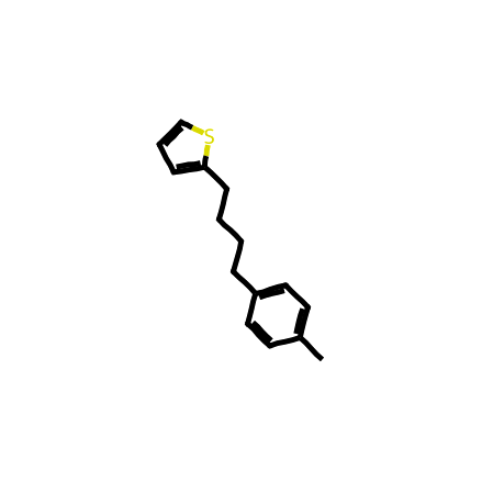 Cc1ccc(CCCCc2cccs2)cc1